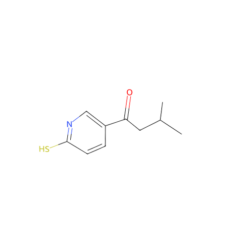 CC(C)CC(=O)c1ccc(S)nc1